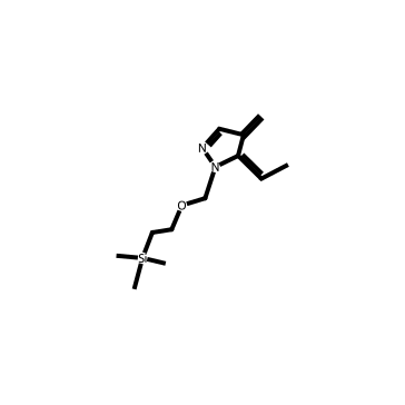 C=c1cnn(COCC[Si](C)(C)C)/c1=C/C